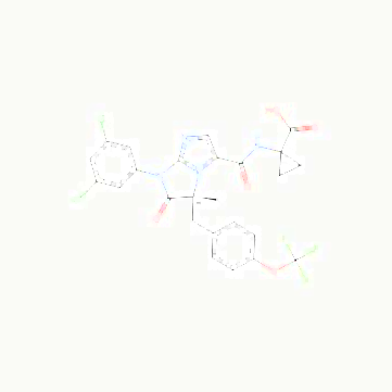 C[C@@]1(Cc2ccc(OC(F)(F)F)cc2)C(=O)N(c2cc(Cl)cc(Cl)c2)c2ncc(C(=O)NC3(C(=O)O)CC3)n21